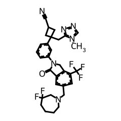 Cn1cnnc1CC1(c2cccc(N3Cc4c(cc(CN5CCCCC(F)(F)C5)cc4C(F)(F)F)C3=O)c2)CC(C#N)C1